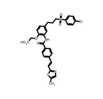 Cc1cnc(C=Cc2ccc(C(=O)Nc3cc(CCCS(=O)(=O)c4ccc(Cl)cc4)ccc3OCC(=O)O)cc2)s1